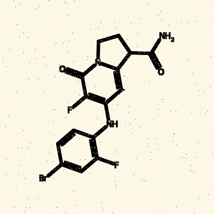 NC(=O)C1CCn2c1[c]c(Nc1ccc(Br)cc1F)c(F)c2=O